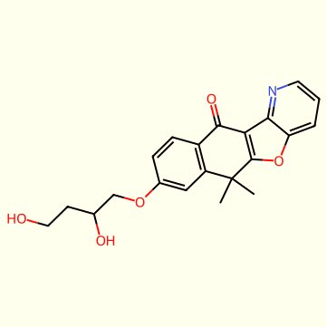 CC1(C)c2cc(OCC(O)CCO)ccc2C(=O)c2c1oc1cccnc21